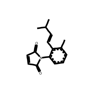 Cc1cccc(N2C(=O)C=CC2=O)c1/C=C/C(C)C